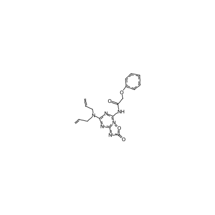 C=CCN(CC=C)c1nc(NC(=O)COc2ccccc2)n2oc(=O)nc2n1